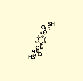 O=C(CS)OCC1CCC(COC(=O)CS)CC1